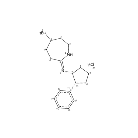 CC(C)(C)C1CCNC(=N[C@@H]2CCC[C@@H]2c2ccccc2)CC1.Cl